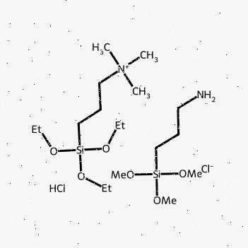 CCO[Si](CCC[N+](C)(C)C)(OCC)OCC.CO[Si](CCCN)(OC)OC.Cl.[Cl-]